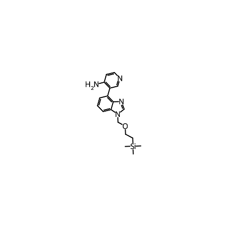 C[Si](C)(C)CCOCn1cnc2c(-c3cnccc3N)cccc21